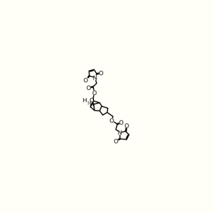 C[C@@H]1C2CC(COC(=O)CN3C(=O)C=CC3=O)C1C1CC(COC(=O)CN3C(=O)C=CC3=O)CC12